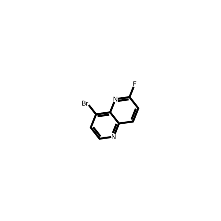 Fc1ccc2nccc(Br)c2n1